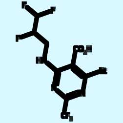 CCc1nc(C(F)(F)F)nc(NCC(F)C(F)F)c1C(=O)O